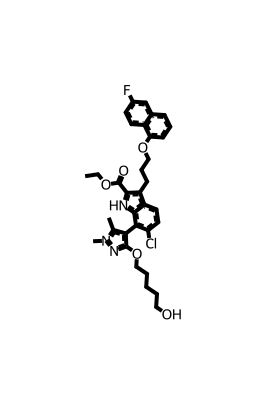 CCOC(=O)c1[nH]c2c(-c3c(OCCCCCO)nn(C)c3C)c(Cl)ccc2c1CCCOc1cccc2cc(F)ccc12